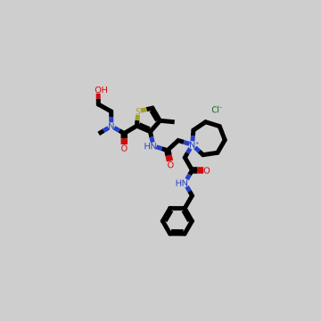 Cc1csc(C(=O)N(C)CCO)c1NC(=O)C[N+]1(CC(=O)NCc2ccccc2)CCCCCC1.[Cl-]